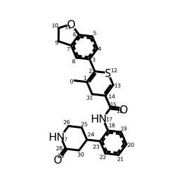 CC1=C(c2ccc3c(c2)CCO3)SC=C(C(=O)Nc2ccccc2C2CCNC(=O)C2)C1